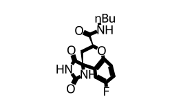 CCCCNC(=O)[C@@H]1C[C@]2(NC(=O)NC2=O)c2cc(F)ccc2O1